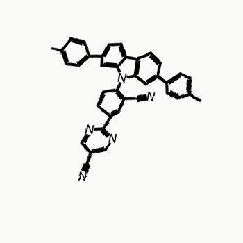 Cc1ccc(-c2ccc3c4ccc(-c5ccc(C)cc5)cc4n(-c4ccc(-c5ncc(C#N)cn5)cc4C#N)c3c2)cc1